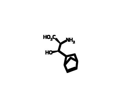 N[C@H](C(=O)O)[C@H](O)C1CC2C=CC1C2